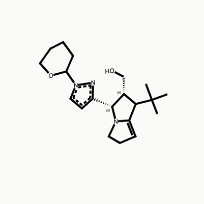 CC(C)(C)C1C2=CCCN2[C@H](c2ccn(C3CCCCO3)n2)[C@@H]1CO